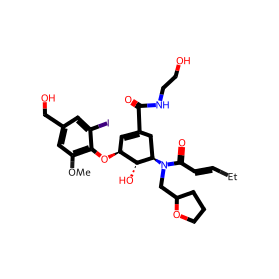 CC/C=C/C(=O)N(CC1CCCO1)[C@@H]1CC(C(=O)NCCO)=C[C@H](Oc2c(I)cc(CO)cc2OC)[C@H]1O